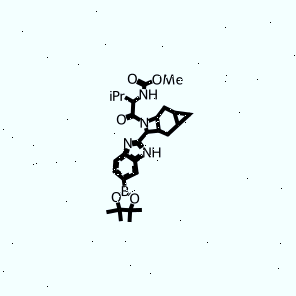 COC(=O)NC(C(=O)N1C2CC3CC3CC2C1c1nc2ccc(B3OC(C)(C)C(C)(C)O3)cc2[nH]1)C(C)C